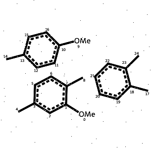 COc1cc(C)ccc1C.COc1ccc(C)cc1.Cc1ccccc1C